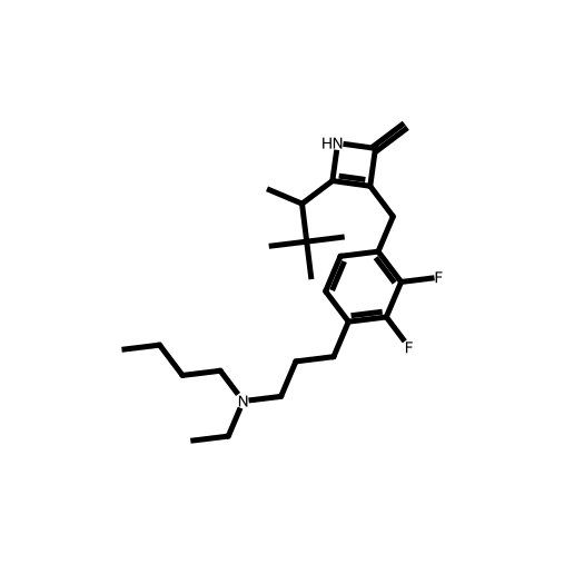 C=C1NC(C(C)C(C)(C)C)=C1Cc1ccc(CCCN(CC)CCCC)c(F)c1F